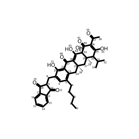 CCCCCc1cc(CC2C(=O)c3ccccc3C2=O)c(O)c2c1C[C@]1(C)C[C@]3(C)C(C(C)C)C(O)=C(C(C)=O)C(=O)[C@]3(O)C(O)=C1C2=O